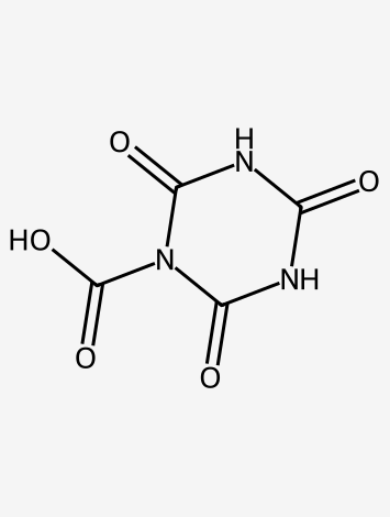 O=C(O)n1c(=O)[nH]c(=O)[nH]c1=O